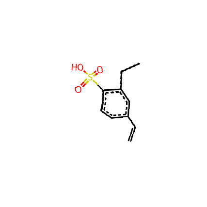 C=Cc1ccc(S(=O)(=O)O)c(CC)c1